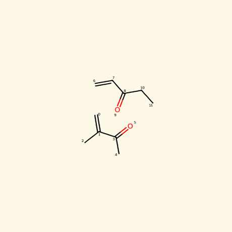 C=C(C)C(C)=O.C=CC(=O)CC